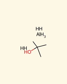 CC(C)(C)O.[AlH3].[HH].[HH]